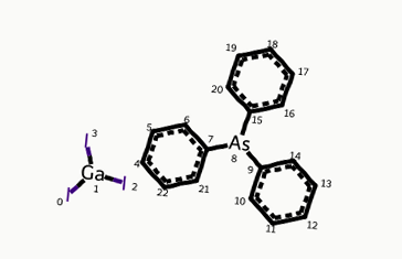 [I][Ga]([I])[I].c1ccc([As](c2ccccc2)c2ccccc2)cc1